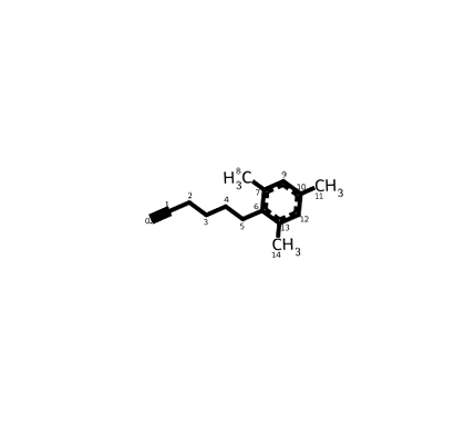 [C]#CCCCCc1c(C)cc(C)cc1C